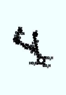 N#C[C@H]1CC(F)(F)CN1C(=O)CNC(=O)c1ccnc2ccc(OCCCN3CCN(C(=O)CN4C(=O)CC(S[C@H](CCCCCNC(=O)CCCc5ccc(I)cc5)CNC(=O)CN5CCN(CC(=O)O)CCN(CC(=O)O)CCN(CC(=O)O)CC5)C4=O)CC3)cc12